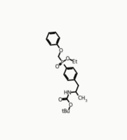 CCOP(=O)(COc1ccccc1)c1ccc(CC(C)NC(=O)OC(C)(C)C)cc1